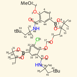 COCOc1ccc(B2OC(C)(C)C(C)(CCOCOc3c(Cl)cc(B4OC(C)(C)C(C)(C)O4)cc3C(=O)NC(C)(C)CC(C)(C)C)O2)cc1C(=O)NC(C)(C)CC(C)(C)C